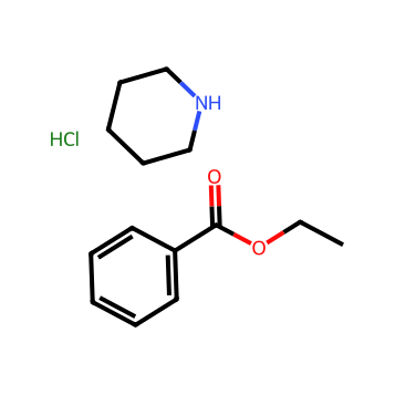 C1CCNCC1.CCOC(=O)c1ccccc1.Cl